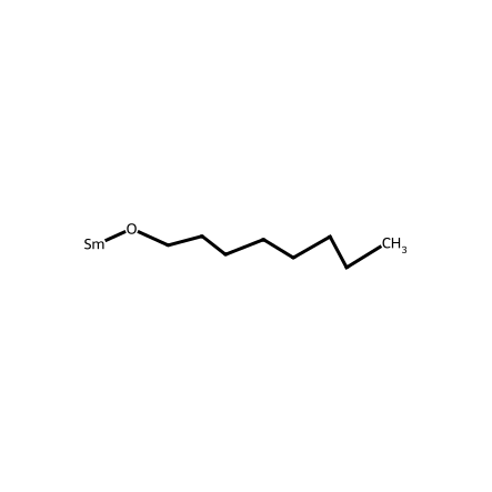 CCCCCCCC[O][Sm]